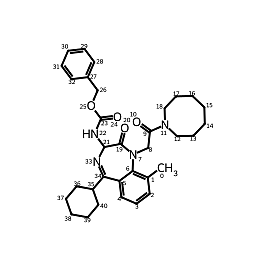 Cc1cccc2c1N(CC(=O)N1CCCCCCC1)C(=O)C(NC(=O)OCc1ccccc1)N=C2C1CCCCC1